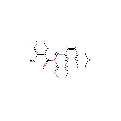 Cc1ccccc1C(=O)Oc1ccccc1-c1c(C)ccc2c1CCCC2